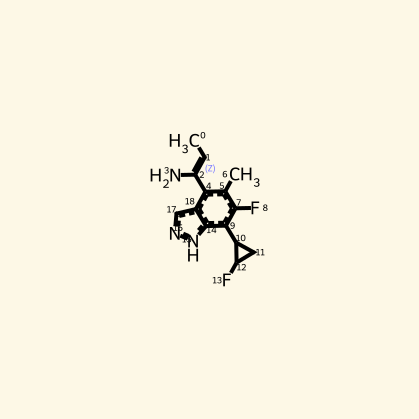 C/C=C(\N)c1c(C)c(F)c(C2CC2F)c2[nH]ncc12